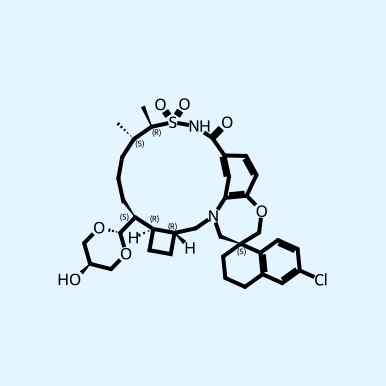 C[C@@H]1[C@@H](C)CCC[C@H]([C@H]2OC[C@H](O)CO2)[C@@H]2CC[C@H]2CN2C[C@@]3(CCCc4cc(Cl)ccc43)COc3ccc(cc32)C(=O)NS1(=O)=O